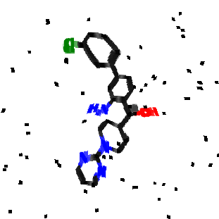 Nc1cc(-c2cccc(Cl)c2)ccc1[C@@H](O)C1CCN(c2ncccn2)CC1